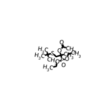 CCOP(=O)(OCC)C(C)(CSC(C)(C)C)OC(C)=O